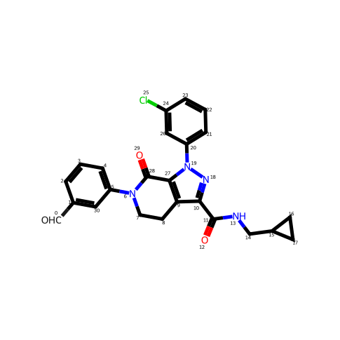 O=Cc1cccc(N2CCc3c(C(=O)NCC4CC4)nn(-c4cccc(Cl)c4)c3C2=O)c1